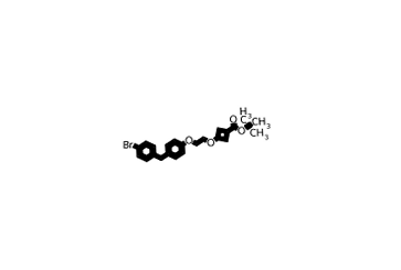 CC(C)(C)OC(=O)C1CC(OCCOc2ccc(Cc3ccc(Br)cc3)cc2)C1